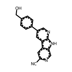 N#Cc1cc2c(cn1)[nH]c1ncc(-c3ccc(CO)cc3)cc12